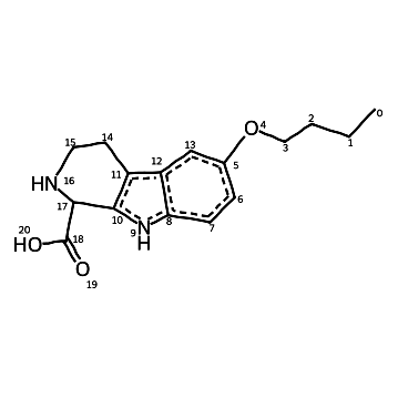 CCCCOc1ccc2[nH]c3c(c2c1)CCNC3C(=O)O